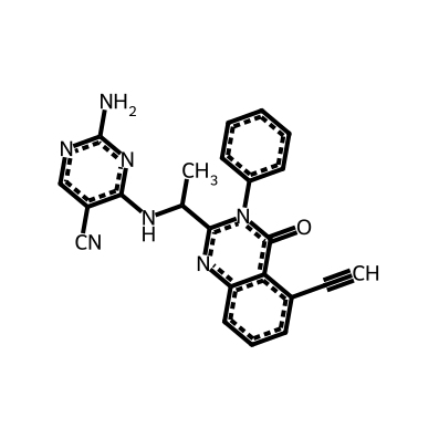 C#Cc1cccc2nc(C(C)Nc3nc(N)ncc3C#N)n(-c3ccccc3)c(=O)c12